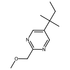 CCC(C)(C)c1cnc(COC)nc1